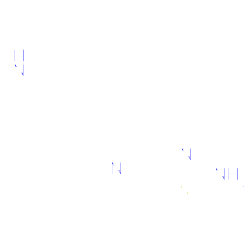 Nc1nc2c(s1)CCN(C/C=C/c1ccc3[nH]ccc3c1)CC2